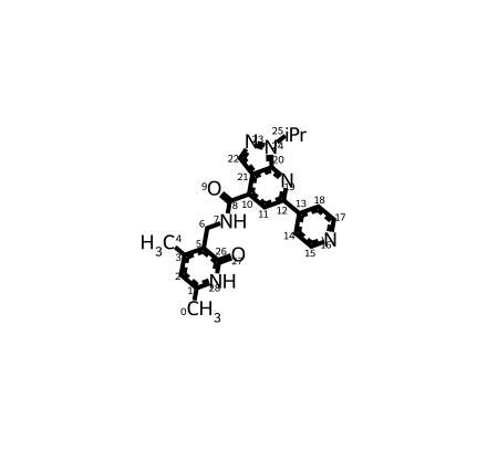 Cc1cc(C)c(CNC(=O)c2cc(-c3ccncc3)nc3c2cnn3C(C)C)c(=O)[nH]1